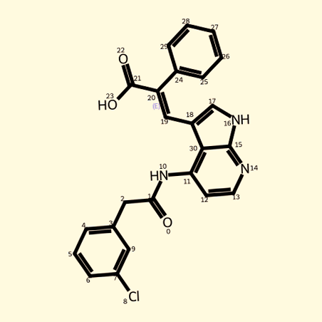 O=C(Cc1cccc(Cl)c1)Nc1ccnc2[nH]cc(/C=C(/C(=O)O)c3ccccc3)c12